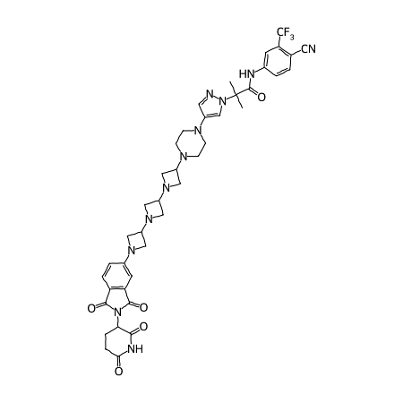 CC(C)(C(=O)Nc1ccc(C#N)c(C(F)(F)F)c1)n1cc(N2CCN(C3CN(C4CN(C5CN(c6ccc7c(c6)C(=O)N(C6CCC(=O)NC6=O)C7=O)C5)C4)C3)CC2)cn1